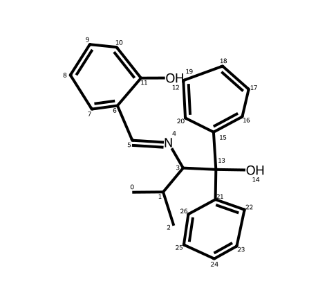 CC(C)C(N=Cc1ccccc1O)C(O)(c1ccccc1)c1ccccc1